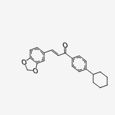 O=C(C=Cc1ccc2c(c1)OCO2)c1ccc(C2CCCCC2)cc1